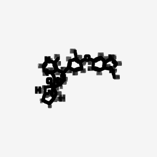 C=CC(=O)N1[C@@H]2CC[C@H]1CC(n1nc(-c3ccc(Oc4ccc5c(c4)ncn5C)c(C)c3)c3c(C)ncnc31)C2